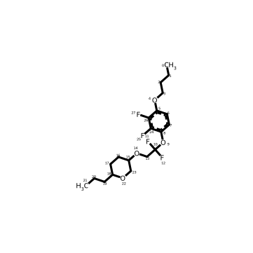 CCCCOc1ccc(OC(F)(F)COC2CCC(CCC)OC2)c(F)c1F